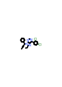 CC#CC(c1ccccc1)n1c(CC)nc2c(-c3ccc(Cl)cc3Cl)ncnc21